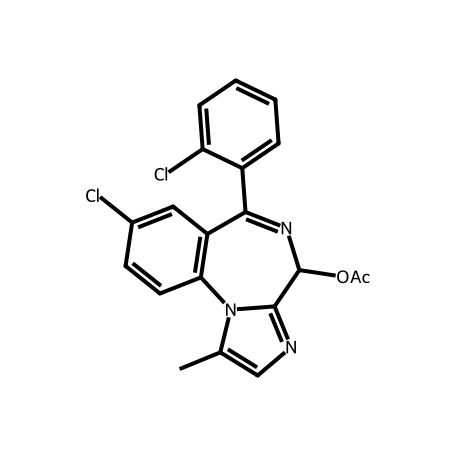 CC(=O)OC1N=C(c2ccccc2Cl)c2cc(Cl)ccc2-n2c(C)cnc21